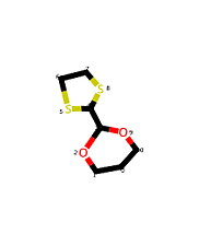 C1COC(C2SCCS2)OC1